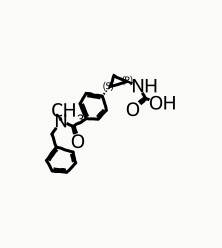 CN(Cc1ccccc1)C(=O)c1ccc([C@@H]2C[C@H]2NC(=O)O)cc1